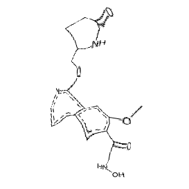 COc1cc2c(OCC3CCC(=O)N3)nccc2cc1C(=O)NO